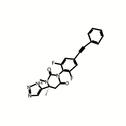 CN1C(=O)N(c2c(F)cc(C#Cc3ccccc3)cc2F)C(=O)C[C@@]1(C)c1cnn[nH]1